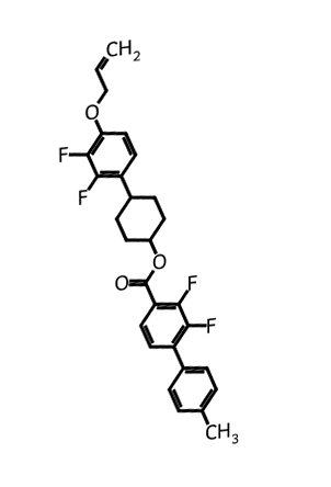 C=CCOc1ccc(C2CCC(OC(=O)c3ccc(-c4ccc(C)cc4)c(F)c3F)CC2)c(F)c1F